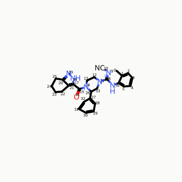 Cc1ccccc1N/C(=N/C#N)N1CCN(C(=O)c2[nH]nc3c2CCCC3)C(c2ccccc2)C1